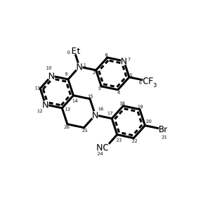 CCN(c1ccc(C(F)(F)F)nc1)c1ncnc2c1CN(c1ccc(Br)cc1C#N)CC2